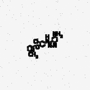 Cc1cccc(COc2ccc(Nc3ncnc4ccc(N)cc34)cc2Cl)n1